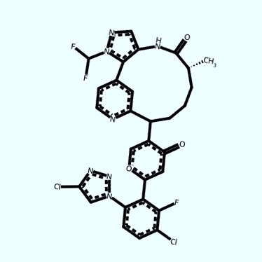 C[C@@H]1CCCC(c2coc(-c3c(-n4cc(Cl)nn4)ccc(Cl)c3F)cc2=O)c2cc(ccn2)-c2c(cnn2C(F)F)NC1=O